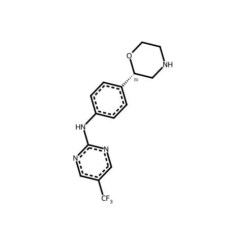 FC(F)(F)c1cnc(Nc2ccc([C@H]3CNCCO3)cc2)nc1